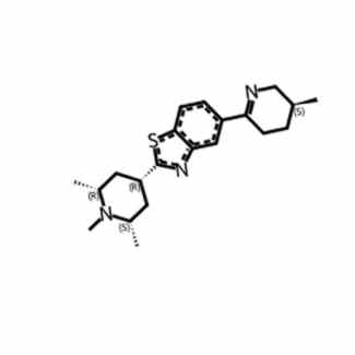 C[C@H]1CCC(c2ccc3sc([C@H]4C[C@@H](C)N(C)[C@@H](C)C4)nc3c2)=NC1